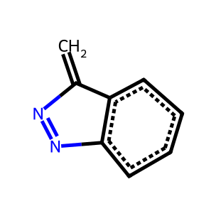 C=C1N=Nc2ccccc21